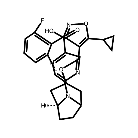 O=C(O)c1cnc(N2C3CC[C@H]2CC(OCc2c(-c4c(F)cccc4F)noc2C2CC2)C3)cn1